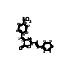 O=C1OC(C=Cc2ccccc2)=NC1=Cc1ccc([N+](=O)[O-])cc1